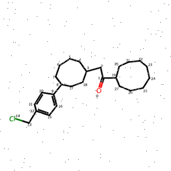 O=C(CC1CCCCC(c2ccc(CCl)cc2)CC1)C1CCCCCCCC1